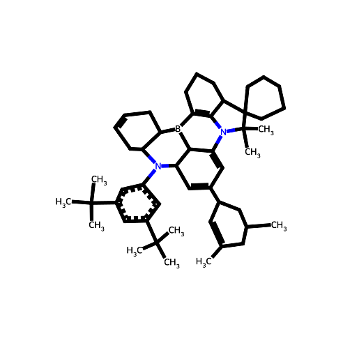 CC1=CC(C2=CC3C4B(C5=C6C(CCC5)C5(CCCCC5)C(C)(C)N6C4=C2)C2CC=CCC2N3c2cc(C(C)(C)C)cc(C(C)(C)C)c2)CC(C)C1